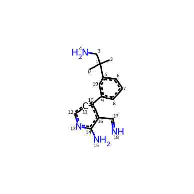 CC(C)(CN)c1cccc(-c2ccnc(N)c2C=N)c1